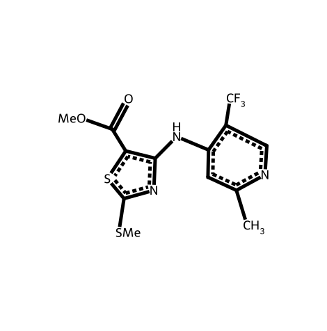 COC(=O)c1sc(SC)nc1Nc1cc(C)ncc1C(F)(F)F